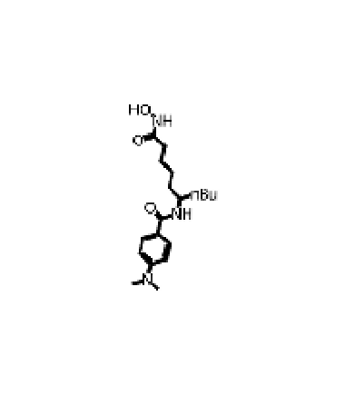 CCCCC(CCCCC(=O)NO)NC(=O)c1ccc(N(C)C)cc1